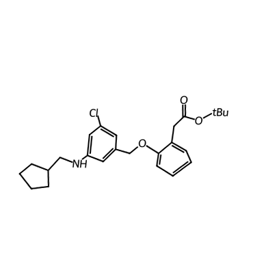 CC(C)(C)OC(=O)Cc1ccccc1OCc1cc(Cl)cc(NCC2CCCC2)c1